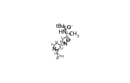 CC(N[S+]([O-])C(C)(C)C)c1cc(-c2ccnc(C3CC3)c2)no1